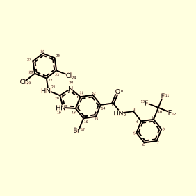 O=C(NCc1ccccc1C(F)(F)F)c1cc(Br)c2[nH]c(Nc3c(Cl)cccc3Cl)nc2c1